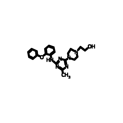 Cc1nc(Nc2ccccc2Oc2ccccc2)nc(N2CCN(CCO)CC2)n1